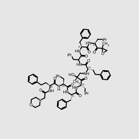 CC(C)CC(NC(=O)[C@H](CCc1ccccc1)NC[C@@](C)(O)C(=O)[C@H](CC(C)C)NC(=O)[C@H](Cc1ccccc1)NC(=O)[C@H](CC(C)C)NC(=O)[C@H](CCc1ccccc1)NC(=O)CN1CCOCC1)C(=O)N[C@@H](Cc1ccccc1)C(=O)N[C@@H](CC(C)C)C(=O)C1(C)CO1